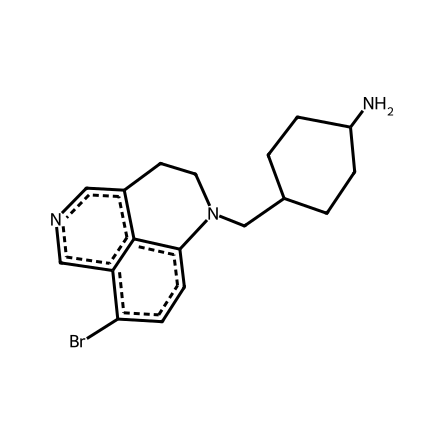 NC1CCC(CN2CCc3cncc4c(Br)ccc2c34)CC1